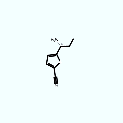 CC[C@@H](N)c1ccc(C#N)s1